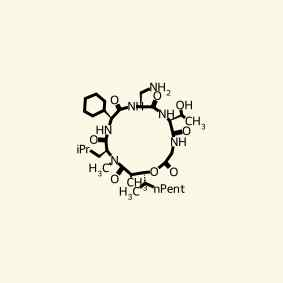 CCCCCC(C)[C@H]1OC(=O)CNC(=O)[C@H](C(C)O)NC(=O)[C@H](CN)NC(=O)[C@H](C2CCCCC2)NC(=O)[C@H](CC(C)C)N(C)C(=O)[C@@H]1C